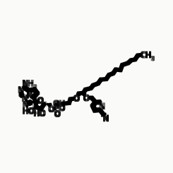 CCCCCCCCCCCCCCCCC(COCCCOP(=O)(O)OC[C@H]1O[C@@](C#N)(c2ccc3c(N)ncnn23)[C@H](O)[C@@H]1O)OCc1ccc(C#N)nc1